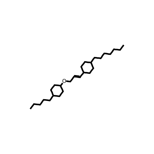 CCCCCCCC1CCC(C=CCOC2CCC(CCCCC)CC2)CC1